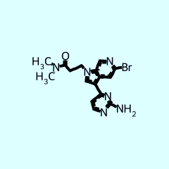 CN(C)C(=O)CCn1cc(-c2ccnc(N)n2)c2cc(Br)ncc21